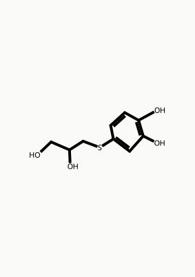 OCC(O)CSc1ccc(O)c(O)c1